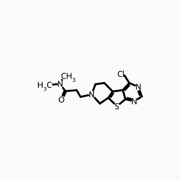 CN(C)C(=O)CCN1CCc2c(sc3ncnc(Cl)c23)C1